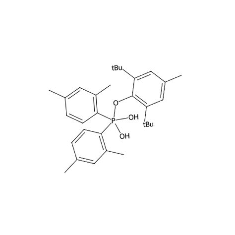 Cc1ccc(P(O)(O)(Oc2c(C(C)(C)C)cc(C)cc2C(C)(C)C)c2ccc(C)cc2C)c(C)c1